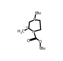 C[C@H]1CN(C(C)(C)C)CCN1C(=O)OC(C)(C)C